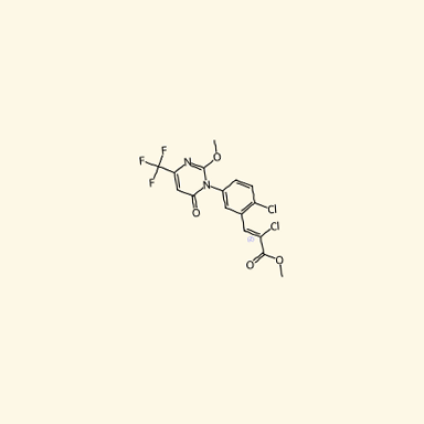 COC(=O)/C(Cl)=C/c1cc(-n2c(OC)nc(C(F)(F)F)cc2=O)ccc1Cl